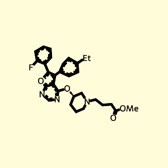 CCc1ccc(-c2c(-c3ccccc3F)oc3ncnc(O[C@@H]4CCCN(CCCC(=O)OC)C4)c23)cc1